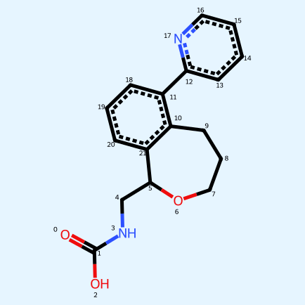 O=C(O)NCC1OCCCc2c(-c3ccccn3)cccc21